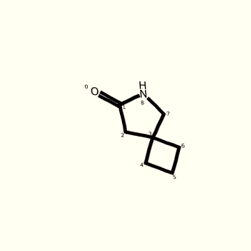 O=C1CC2(CCC2)CN1